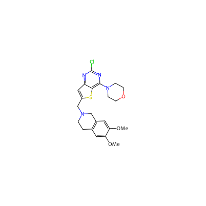 COc1cc2c(cc1OC)CN(Cc1cc3nc(Cl)nc(N4CCOCC4)c3s1)CC2